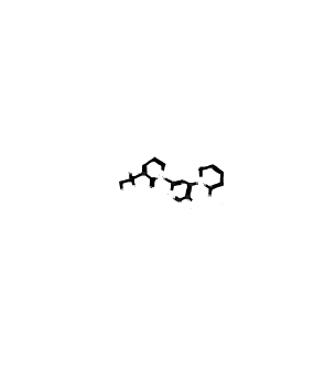 Cc1cnc(-n2cccc(C(C)(C)CO)c2=O)cc1-n1c(C)cccc1=O